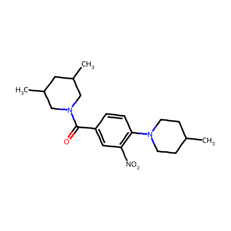 CC1CCN(c2ccc(C(=O)N3CC(C)CC(C)C3)cc2[N+](=O)[O-])CC1